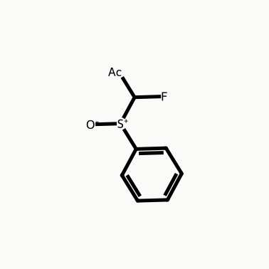 CC(=O)C(F)[S+]([O-])c1ccccc1